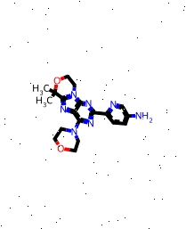 CC1(C)OCCn2c1nc1c(N3CCOCC3)nc(-c3ccc(N)cn3)nc12